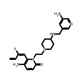 Bc1cncc(CNC2CCN(CCn3c(/C=C(/F)C=C)c(N)ccc3=O)CC2)c1